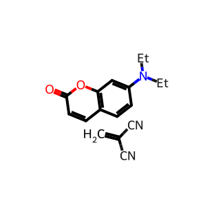 C=C(C#N)C#N.CCN(CC)c1ccc2ccc(=O)oc2c1